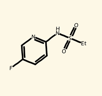 CCS(=O)(=O)Nc1ccc(F)cn1